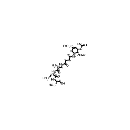 CCOC(=O)C1=C[C@@H](OC(CC)CC)[C@H](NC(C)=O)[C@@H](NC(=O)CCC(=O)NC[C@H](N)C(=O)N[C@@H](CC(=O)O)C(=O)N[C@@H](CS)C(=O)O)C1